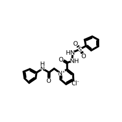 O=C(C[n+]1ccccc1C(=O)NNS(=O)(=O)c1ccccc1)Nc1ccccc1.[Cl-]